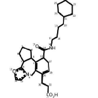 CC1=C(C2CCCC2c2ncco2)C(C(=O)NCCCCC2CCCCC2)CC=C1CCC(=O)O